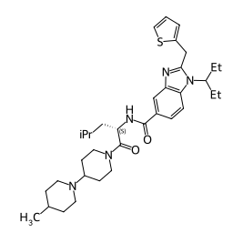 CCC(CC)n1c(Cc2cccs2)nc2cc(C(=O)N[C@@H](CC(C)C)C(=O)N3CCC(N4CCC(C)CC4)CC3)ccc21